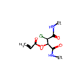 C=CC(=O)OC(C(=O)NCC)C(Cl)C(=O)NCC